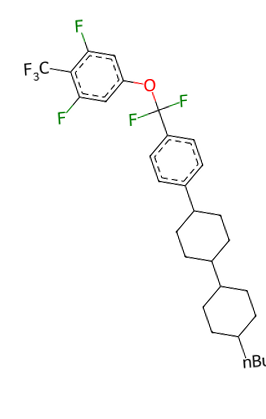 CCCCC1CCC(C2CCC(c3ccc(C(F)(F)Oc4cc(F)c(C(F)(F)F)c(F)c4)cc3)CC2)CC1